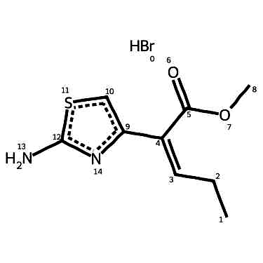 Br.CCC=C(C(=O)OC)c1csc(N)n1